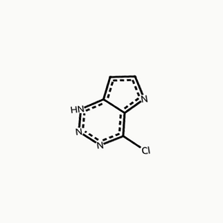 Clc1nn[nH]c2ccnc1-2